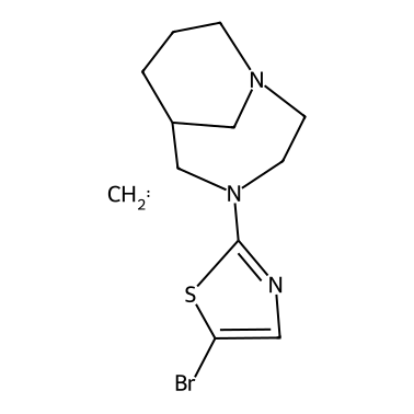 Brc1cnc(N2CCN3CCCC(C3)C2)s1.[CH2]